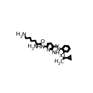 C=C(Oc1ccccc1/N=N/c1ccc(NC(=O)[C@@H](N)CCCCN)nc1N)C1CC1